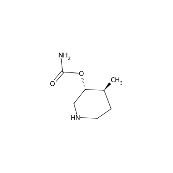 C[C@H]1CCNC[C@@H]1OC(N)=O